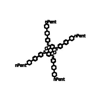 CCCCCC1CCC(c2ccc(-c3ccc(Sc4ccc(Sc5ccc(C6CCC(C7CCC(CCCCC)CC7)CC6)cc5)c5c4C(=O)c4c(Sc6ccc(C7CCC(C8CCC(CCCCC)CC8)CC7)cc6)ccc(Sc6ccc(-c7ccc(C8CCC(CCCCC)CC8)cc7)cc6)c4C5=O)cc3)cc2)CC1